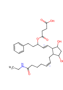 CCNC(=O)CCC/C=C\CC1C(O)CC(O)C1/C=C/C(CCc1ccccc1)OC(=O)CCC(=O)O